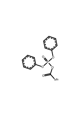 CCCC(=O)OP(=O)(Oc1ccccc1)Oc1ccccc1